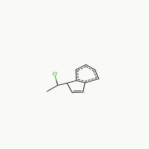 CC(Cl)C1C=[C]c2ccccc21